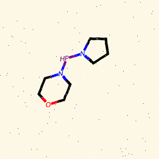 C1CCN(PN2CCOCC2)C1